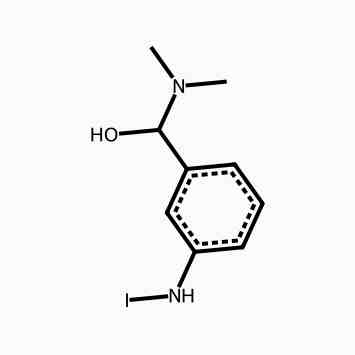 CN(C)C(O)c1cccc(NI)c1